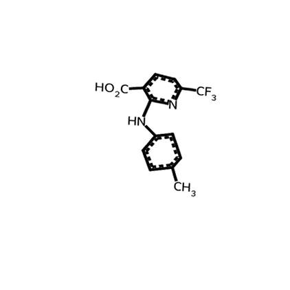 Cc1ccc(Nc2nc(C(F)(F)F)ccc2C(=O)O)cc1